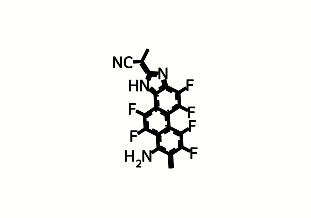 C=c1c(F)c(F)c2c(c(F)c(F)c3c4[nH]/c(=C(/C)C#N)nc4c(F)c(F)c23)c1N